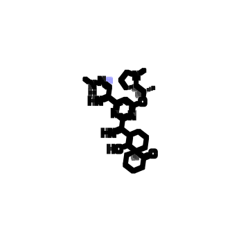 CN/N=C\C(=N)c1cc(O[C@@H](C)[C@@H]2CCCN2C)nc(C(=N)C2=C(O)[C@]3(CCCCC3=O)CCC2)n1